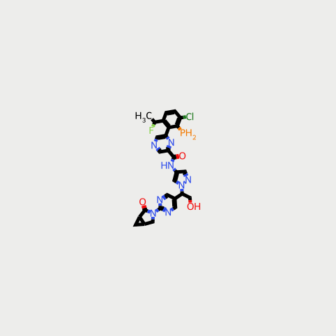 CC(F)c1ccc(Cl)c(P)c1-c1cncc(C(=O)Nc2cnn(C(CO)c3cnc(N4CC5CC5C4=O)nc3)c2)n1